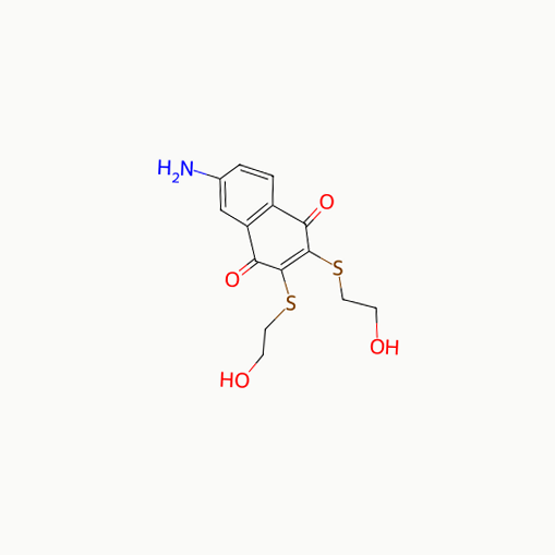 Nc1ccc2c(c1)C(=O)C(SCCO)=C(SCCO)C2=O